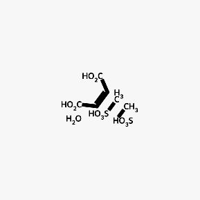 CS(=O)(=O)O.CS(=O)(=O)O.O.O=C(O)/C=C\C(=O)O